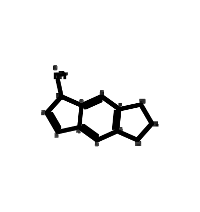 CCC[C]1C=Cc2cc3c(cc21)CCC3